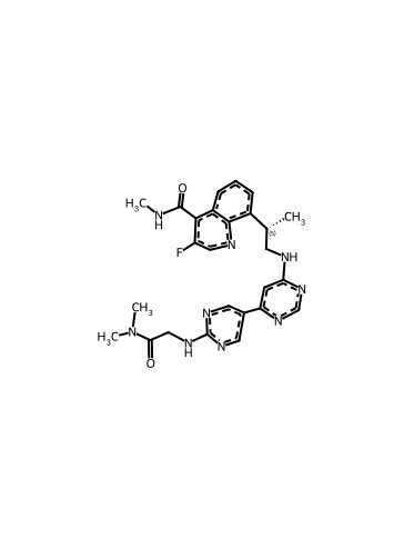 CNC(=O)c1c(F)cnc2c([C@H](C)CNc3cc(-c4cnc(NCC(=O)N(C)C)nc4)ncn3)cccc12